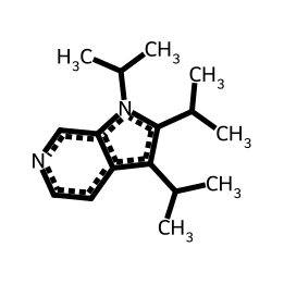 CC(C)c1c(C(C)C)n(C(C)C)c2cnccc12